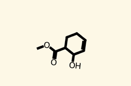 COC(=O)C1CCC=CC1O